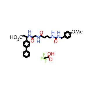 COc1ccc(CNC(=O)NCCCC(=O)NCC(=O)NC(CC(=O)O)c2ccc(-c3ccccc3)cc2)cc1.O=C(O)C(F)(F)F